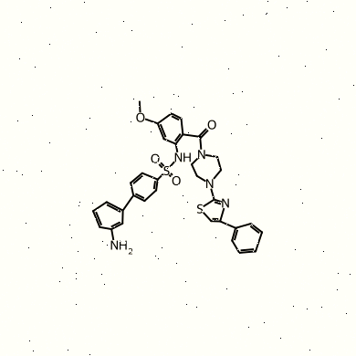 COc1ccc(C(=O)N2CCN(c3nc(-c4ccccc4)cs3)CC2)c(NS(=O)(=O)c2ccc(-c3cccc(N)c3)cc2)c1